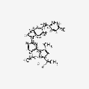 Cc1cc(C(C)F)nn1-c1nc(-n2cnc3cc(Nc4ccc(Cl)nn4)c(F)cc32)ccc1C(C)O